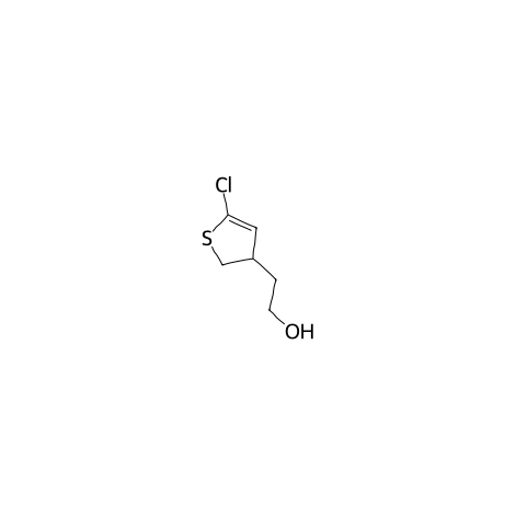 OCCC1C=C(Cl)SC1